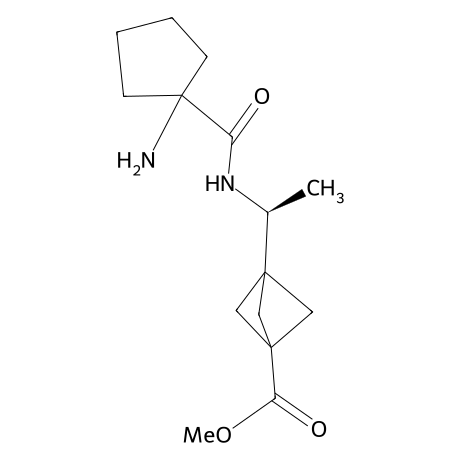 COC(=O)C12CC([C@H](C)NC(=O)C3(N)CCCC3)(C1)C2